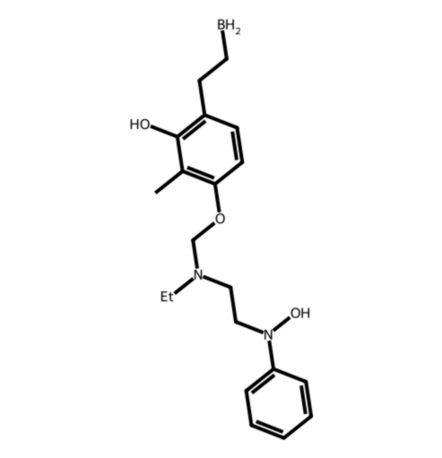 BCCc1ccc(OCN(CC)CCN(O)c2ccccc2)c(C)c1O